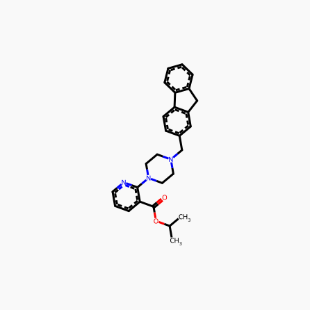 CC(C)OC(=O)c1cccnc1N1CCN(Cc2ccc3c(c2)Cc2ccccc2-3)CC1